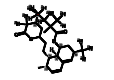 [2H]O[C@@H]1CC(CC[C@@H]2[C@@H]3C(=C[C@H](C([2H])([2H])[2H])C[C@@H]3OC(=O)C(C)(C([2H])([2H])[2H])C([2H])([2H])C([2H])([2H])[2H])C=C[C@@H]2C)OC(=O)C1([2H])[2H]